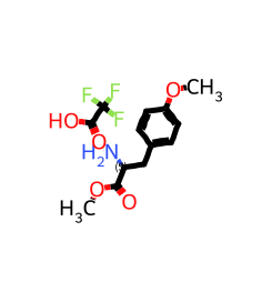 COC(=O)[C@@H](N)Cc1ccc(OC)cc1.O=C(O)C(F)(F)F